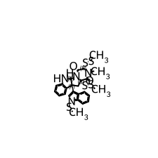 CSS[C@H]1C(=O)N2[C@H]3Nc4ccccc4[C@@]3(c3cn(SC)c4ccccc34)C[C@]2(SSC)C(=O)N1C